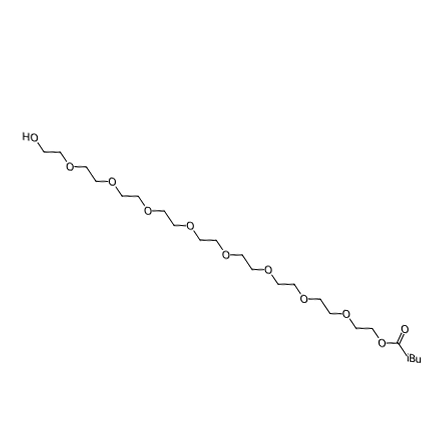 CCC(C)C(=O)OCCOCCOCCOCCOCCOCCOCCOCCOCCO